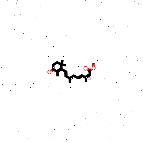 COC(=O)/C=C(/C)C=CC=C(C)C=CC1=C(C)C(=O)CCC1(C)C